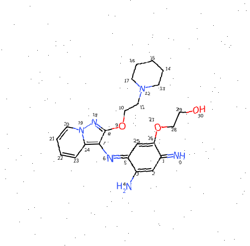 N=C1C=C(N)/C(=N/c2c(OCCN3CCCCC3)nn3ccccc23)C=C1OCCO